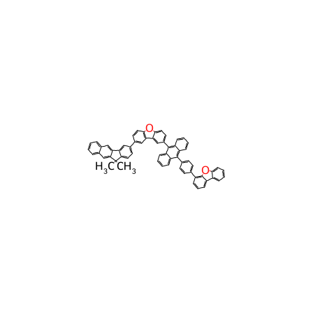 CC1(C)c2ccc(-c3ccc4oc5ccc(-c6c7ccccc7c(-c7ccc(-c8cccc9c8oc8ccccc89)cc7)c7ccccc67)cc5c4c3)cc2-c2cc3ccccc3cc21